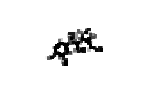 N#CCc1nonc1C(=N)N(O)c1ccc(F)c(Cl)c1